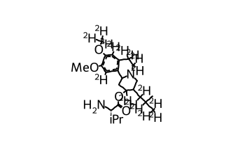 [2H]c1c(OC)c(OC([2H])([2H])[2H])c([2H])c2c1C1CC([2H])(OC(=O)[C@@H](N)C(C)C)C(C([2H])([2H])C([2H])(C)C([2H])([2H])[2H])CN1C([2H])([2H])C2([2H])[2H]